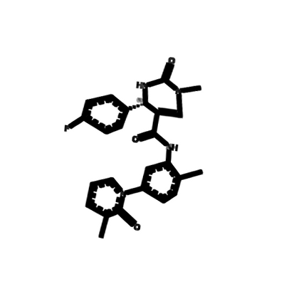 Cc1ccc(-n2cccc(C)c2=O)cc1NC(=O)C1=CN(C)C(=O)N[C@H]1c1ccc(F)cc1